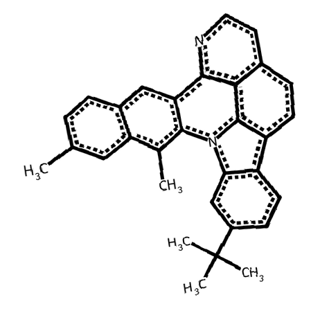 Cc1ccc2cc3c4nccc5ccc6c7ccc(C(C)(C)C)cc7n(c3c(C)c2c1)c6c54